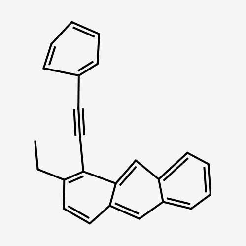 CCc1ccc2cc3ccccc3cc2c1C#Cc1ccccc1